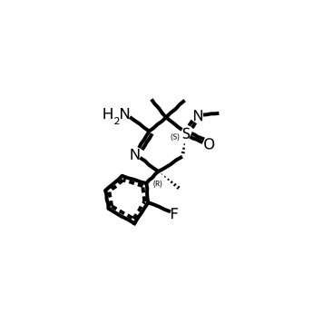 CN=[S@]1(=O)C[C@@](C)(c2ccccc2F)N=C(N)C1(C)C